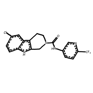 O=C(Nc1ccc(C(F)(F)F)nc1)N1CCc2c([nH]c3ccc(Cl)cc23)C1